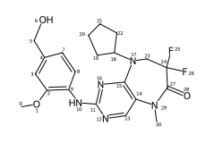 COc1cc(CO)ccc1Nc1ncc2c(n1)N(C1CCCC1)CC(F)(F)C(=O)N2C